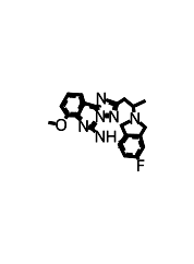 COc1cccc2c1nc(N)n1nc(CC(C)N3Cc4ccc(F)cc4C3)nc21